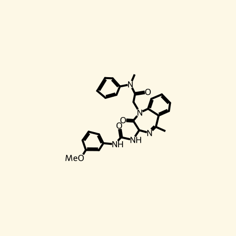 COc1cccc(NC(=O)NC2N=C(C)c3ccccc3N(CC(=O)N(C)c3ccccc3)C2=O)c1